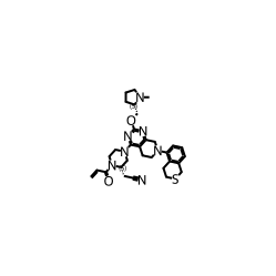 C=CC(=O)N1CCN(c2nc(OC[C@@H]3CCCN3C)nc3c2CCN(c2cccc4c2CCSC4)C3)C[C@@H]1CC#N